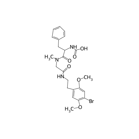 COc1cc(CCNC(=O)CN(C)C(=O)C(Cc2ccccc2)NC(=O)O)c(OC)cc1Br